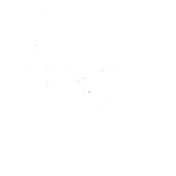 CCN(CC)Cc1ccc([C@@H](c2ccc(Cl)cc2)N2CC(=C(c3cc(F)cc(F)c3)S(C)(=O)=O)C2)cc1